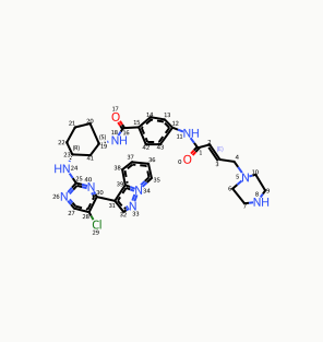 O=C(/C=C/CN1CCNCC1)Nc1ccc(C(=O)N[C@H]2CCC[C@@H](Nc3ncc(Cl)c(-c4cnn5ccccc45)n3)C2)cc1